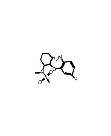 CN(C1CCCCC1Oc1cc(F)ccc1N)S(C)(=O)=O